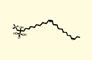 CC/C=C\CCCCCCCC/C=C\CCCCCCCCCC(O)(C[N+](C)(C)C)P(=O)(O)O